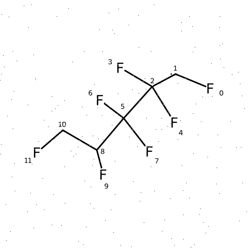 F[CH]C(F)(F)C(F)(F)C(F)CF